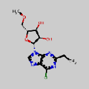 CCc1nc(Cl)c2ncn([C@@H]3O[C@H](COC)[C@@H](O)[C@H]3O)c2n1